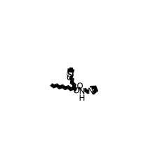 CCCCCCCCC(CCCO[Si](C)(C)C(C)(C)C)OC(=O)NCCN1CCCC1